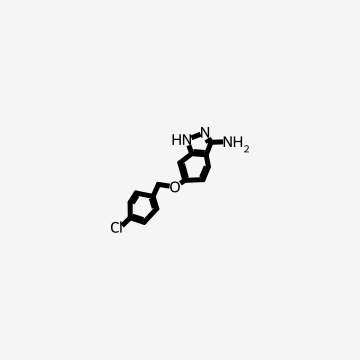 Nc1n[nH]c2cc(OCc3ccc(Cl)cc3)ccc12